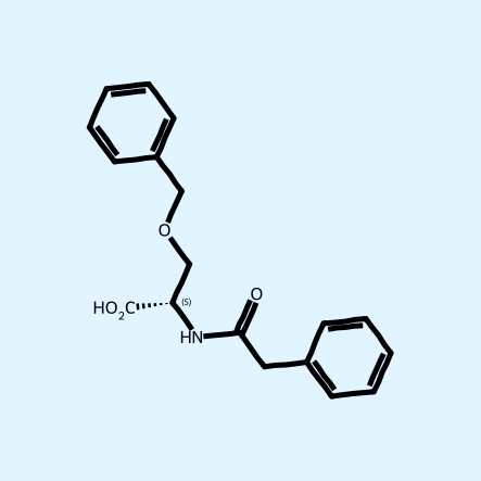 O=C(Cc1ccccc1)N[C@@H](COCc1ccccc1)C(=O)O